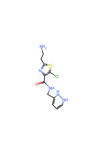 NCCc1nc(C(=O)NCC2=CC=CNN2)c(Cl)s1